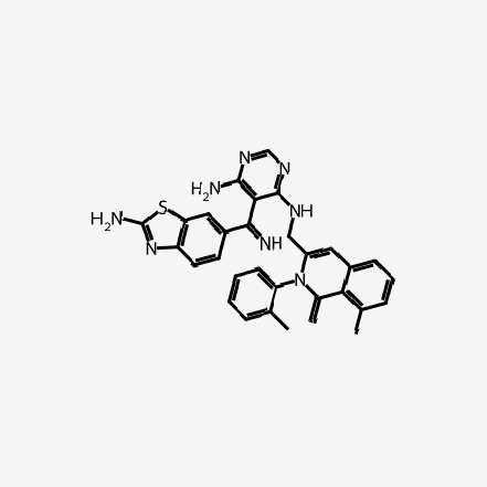 C=C1c2c(C)cccc2C=C(CNc2ncnc(N)c2C(=N)c2ccc3nc(N)sc3c2)N1c1ccccc1C